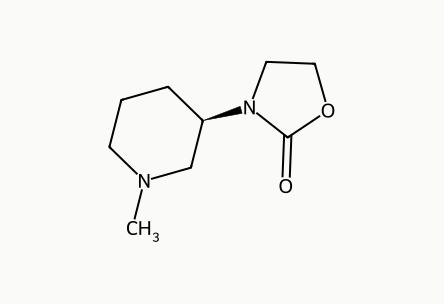 CN1CCC[C@@H](N2CCOC2=O)C1